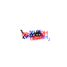 CCCCOC(=O)N(CC(=O)Nc1cc(N(C)C)c2c(c1O)C(=O)C1=C(O)[C@]3(O)C(=O)C(C(N)=O)=C(O)[C@@H](N(C)C)[C@@H]3C[C@@H]1C2)C(C)(C)C